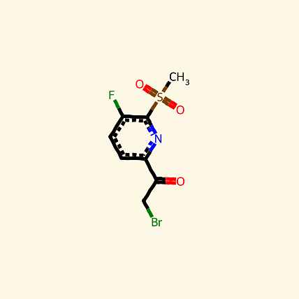 CS(=O)(=O)c1nc(C(=O)CBr)ccc1F